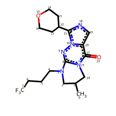 CC1CN(CCCC(F)(F)F)c2nn3c(C4CCOCC4)ncc3c(=O)n2C1